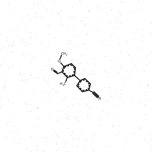 COc1ccc(-c2ccc(C#N)cc2)c(C)c1C=O